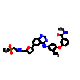 Cc1cc(Nc2ncnc3ccc(-c4ccc(CNCCS(C)(=O)=O)o4)cc23)ccc1Oc1cccc(C(=O)NC(C)(C)C)c1